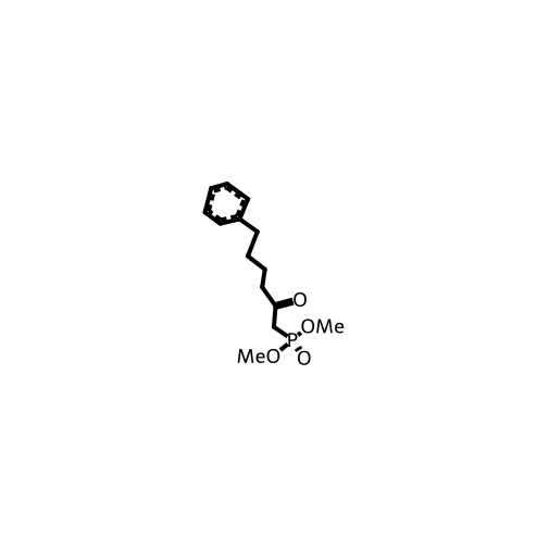 COP(=O)(CC(=O)CCCCc1ccccc1)OC